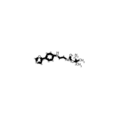 CC(C)(C)OC(=O)NCCNc1ccc(-c2cnco2)cc1